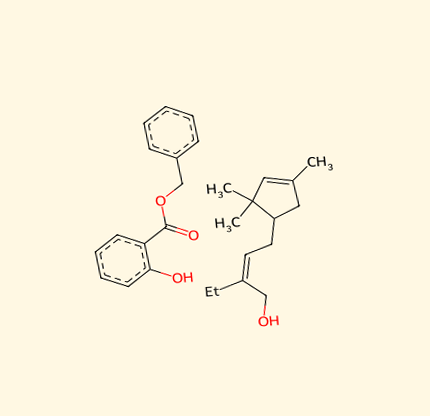 CCC(=CCC1CC(C)=CC1(C)C)CO.O=C(OCc1ccccc1)c1ccccc1O